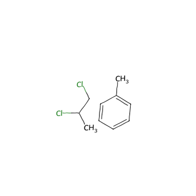 CC(Cl)CCl.Cc1ccccc1